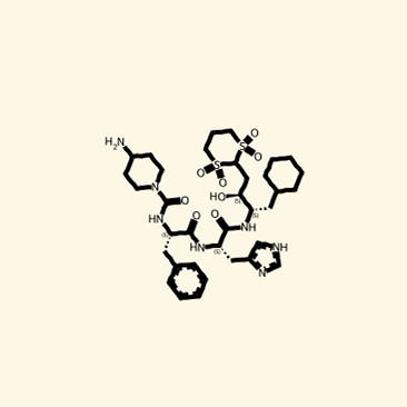 NC1CCN(C(=O)N[C@@H](Cc2ccccc2)C(=O)N[C@@H](Cc2c[nH]cn2)C(=O)N[C@@H](CC2CCCCC2)[C@@H](O)CC2S(=O)(=O)CCCS2(=O)=O)CC1